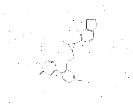 Cc1ncc(-c2ccn(C)c(=O)c2)c(OCC2C(C)C2c2ccc3c(n2)CCC3)n1